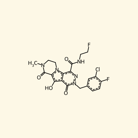 CN1CCn2c(c(O)c3c(=O)n(Cc4ccc(F)c(Cl)c4)nc(C(=O)NCCF)c32)C1=O